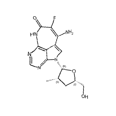 C[C@H]1C[C@@H](CO)O[C@H]1n1cc2c3c(ncnc31)NC(=O)C(F)=C2N